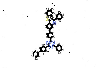 c1ccc(-c2ccc(-c3nc(-c4ccccc4)nc(-c4ccc(-c5ccc6c(c5)nc(-c5ccccc5)c5c7ccccc7sc65)cc4)n3)cc2)cc1